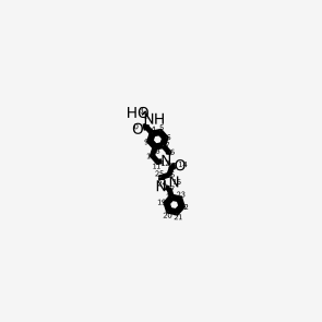 O=C(NO)c1ccc2c(c1)CCN(C(=O)C1=NC(c3ccccc3)N=C1)C2